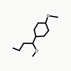 CCCC(OC)C1CCC(OC)CC1